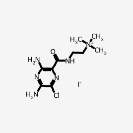 C[N+](C)(C)CCNC(=O)c1nc(Cl)c(N)nc1N.[I-]